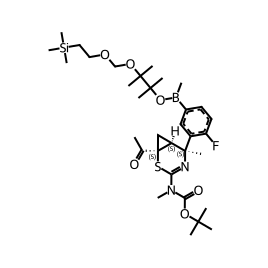 CB(OC(C)(C)C(C)(C)OCOCC[Si](C)(C)C)c1ccc(F)c([C@@]2(C)N=C(N(C)C(=O)OC(C)(C)C)S[C@@]3(C(C)=O)C[C@H]32)c1